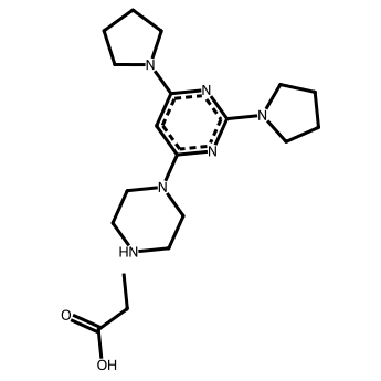 CCC(=O)O.c1c(N2CCCC2)nc(N2CCCC2)nc1N1CCNCC1